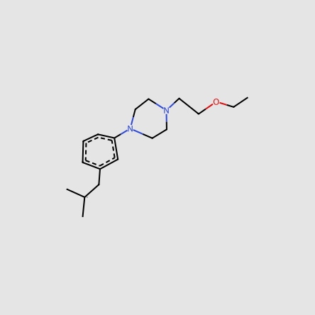 CCOCCN1CCN(c2cccc(C[C](C)C)c2)CC1